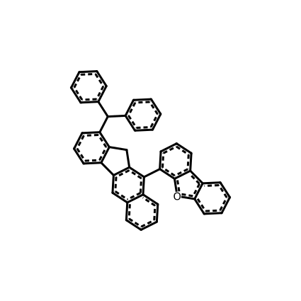 c1ccc(C(c2ccccc2)c2cccc3c2Cc2c-3cc3ccccc3c2-c2cccc3c2oc2ccccc23)cc1